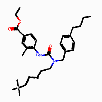 CCCCc1ccc(CN(CCCCC[Si](C)(C)C)C(=O)Nc2ccc(C(=O)OCC)cc2C)cc1